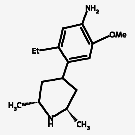 CCc1cc(N)c(OC)cc1C1C[C@@H](C)N[C@@H](C)C1